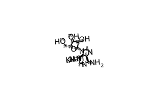 Nc1ncnc2c1ncn2[C@@H]1O[C@H](CO)[C@@H](O)[C@H]1O.[KH].[NaH]